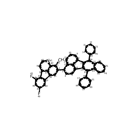 Cc1c(-c2ccc3c4c(cccc24)-c2c-3c(-c3ccccc3)c3ccccc3c2-c2ccccc2)cc2c3c(ccnc13)-c1c(F)cc(F)cc1-2